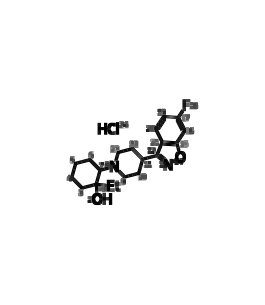 CCC1(O)CCCCC1N1CCC(c2noc3cc(F)ccc23)CC1.Cl